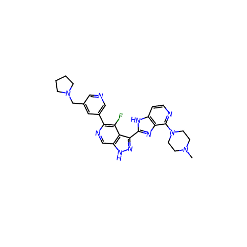 CN1CCN(c2nccc3[nH]c(-c4n[nH]c5cnc(-c6cncc(CN7CCCC7)c6)c(F)c45)nc23)CC1